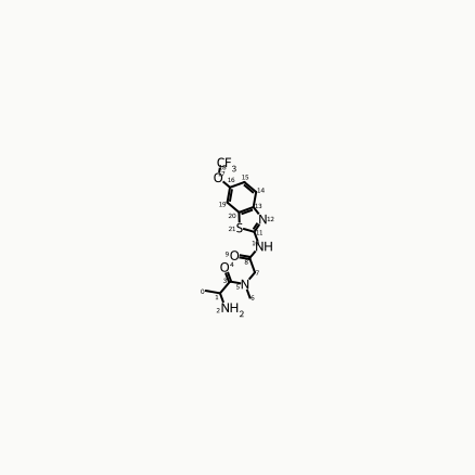 CC(N)C(=O)N(C)CC(=O)Nc1nc2ccc(OC(F)(F)F)cc2s1